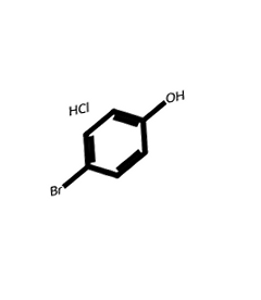 Cl.Oc1ccc(Br)cc1